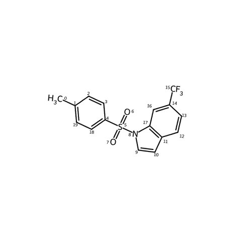 Cc1ccc(S(=O)(=O)n2ccc3ccc(C(F)(F)F)cc32)cc1